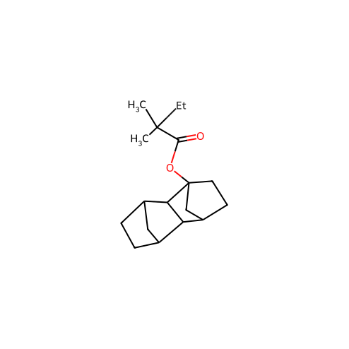 CCC(C)(C)C(=O)OC12CCC(C1)C1C3CCC(C3)C12